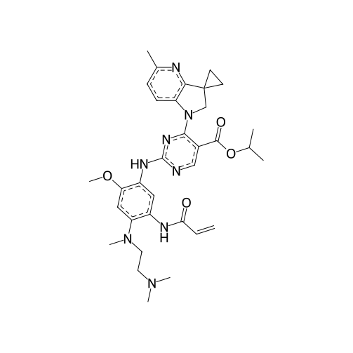 C=CC(=O)Nc1cc(Nc2ncc(C(=O)OC(C)C)c(N3CC4(CC4)c4nc(C)ccc43)n2)c(OC)cc1N(C)CCN(C)C